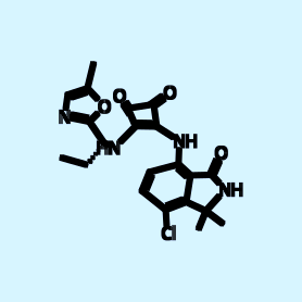 CC[C@@H](Nc1c(Nc2ccc(Cl)c3c2C(=O)NC3(C)C)c(=O)c1=O)c1ncc(C)o1